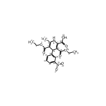 CCOC(=O)C1=C(C)NC(C(=O)O)=C(C(=O)OCC)C1c1cccc([N+](=O)[O-])c1